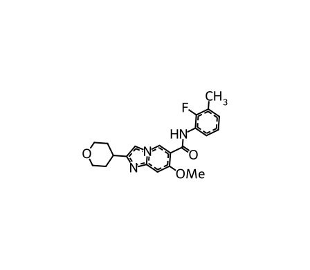 COc1cc2nc(C3CCOCC3)cn2cc1C(=O)Nc1cccc(C)c1F